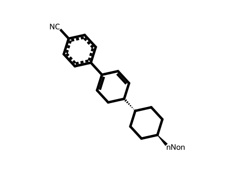 CCCCCCCCC[C@H]1CC[C@H](C2C=CC(c3ccc(C#N)cc3)=CC2)CC1